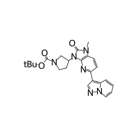 Cn1c(=O)n(C2CCN(C(=O)OC(C)(C)C)C2)c2nc(-c3cnn4ccccc34)ccc21